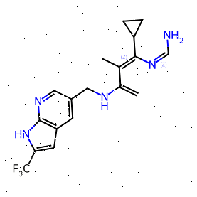 C=C(NCc1cnc2[nH]c(C(F)(F)F)cc2c1)/C(C)=C(\N=C/N)C1CC1